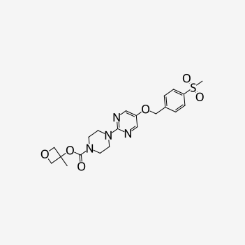 CC1(OC(=O)N2CCN(c3ncc(OCc4ccc(S(C)(=O)=O)cc4)cn3)CC2)COC1